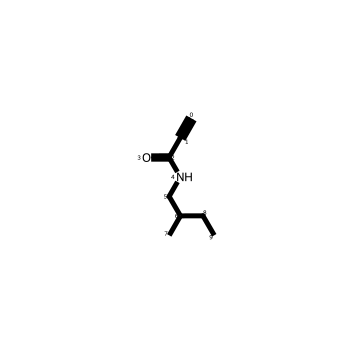 C#CC(=O)NCC(C)CC